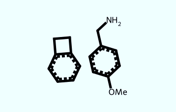 COc1ccc(CN)cc1.c1ccc2c(c1)CC2